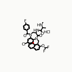 CNC(C)C(=O)NC1CN(C(=O)c2ccc(F)cc2)c2cc(Cl)ccc2N(Cc2c(OC(F)F)ccc3ccccc23)C1=O.Cl